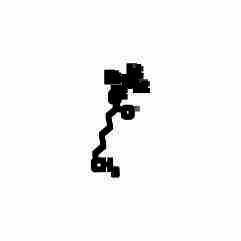 CCCCCCC(=O)[O-].CC[N+](CC)(CC)CC